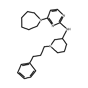 c1ccc(CCCN2CCCC(Nc3nccc(N4CCCCCC4)n3)C2)cc1